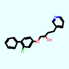 O[C@H](CCc1cccnc1)COc1ccc(-c2ccccc2)c(Cl)c1